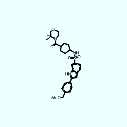 COCc1ccc(-c2cc3ccc(S(=O)(=O)NC4CCC(C(=O)N5CCOC[C@@H]5C)CC4)cc3[nH]2)cc1